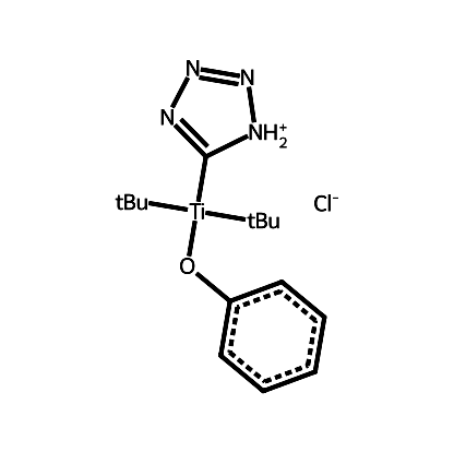 C[C](C)(C)[Ti]([O]c1ccccc1)([C]1=NN=N[NH2+]1)[C](C)(C)C.[Cl-]